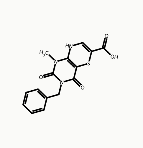 Cn1c2c(c(=O)n(Cc3ccccc3)c1=O)SC(C(=O)O)=CN2